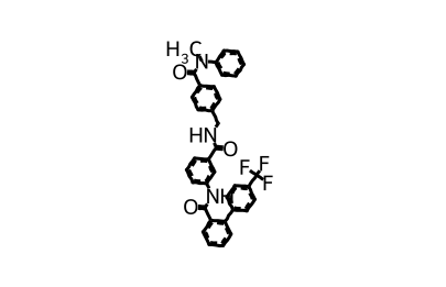 CN(C(=O)c1ccc(CNC(=O)c2cccc(NC(=O)c3ccccc3-c3ccc(C(F)(F)F)cc3)c2)cc1)c1ccccc1